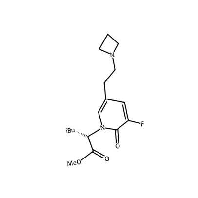 CC[C@@H](C)C(C(=O)OC)n1cc(CCN2CCC2)cc(F)c1=O